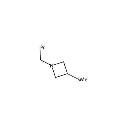 CSC1CN(CC(C)C)C1